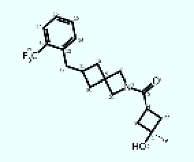 C[C@]1(O)C[C@@H](C(=O)N2CC3(CC(Cc4ccccc4C(F)(F)F)C3)C2)C1